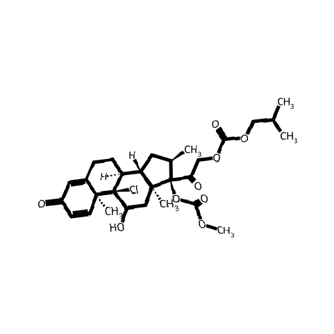 COC(=O)O[C@]1(C(=O)COC(=O)OCC(C)C)[C@H](C)C[C@H]2[C@@H]3CCC4=CC(=O)C=C[C@]4(C)[C@@]3(Cl)C(O)C[C@@]21C